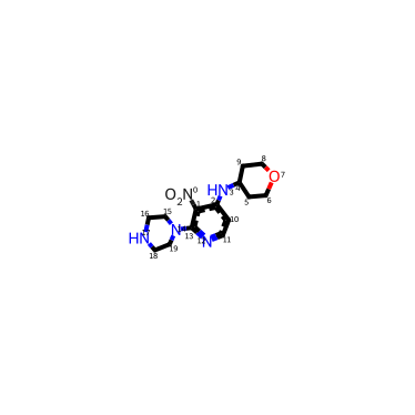 O=[N+]([O-])c1c(NC2CCOCC2)ccnc1N1CCNCC1